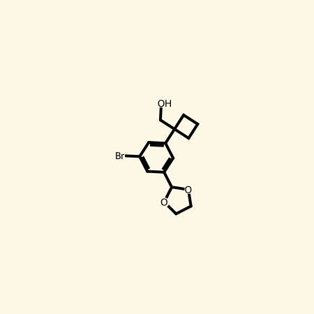 OCC1(c2cc(Br)cc(C3OCCO3)c2)CCC1